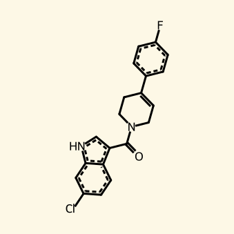 O=C(c1c[nH]c2cc(Cl)ccc12)N1CC=C(c2ccc(F)cc2)CC1